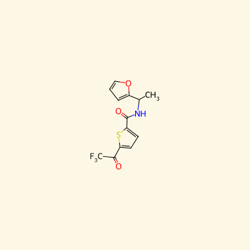 CC(NC(=O)c1ccc(C(=O)C(F)(F)F)s1)c1ccco1